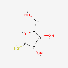 OC[C@H]1OC(S)[C@@H](O)[C@@H]1O